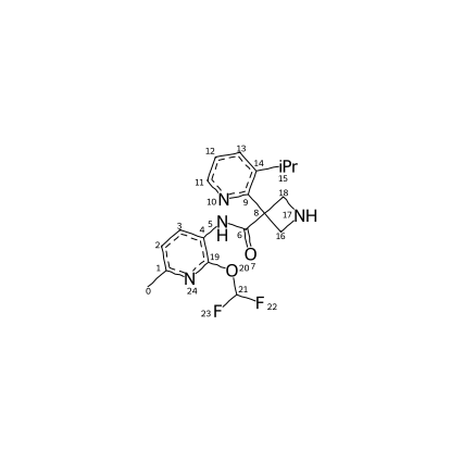 Cc1ccc(NC(=O)C2(c3ncccc3C(C)C)CNC2)c(OC(F)F)n1